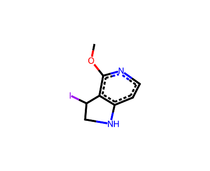 COc1nccc2c1C(I)CN2